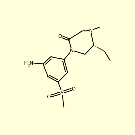 CC[C@@H]1CN(c2cc(N)cc(S(C)(=O)=O)c2)C(=O)CN1C